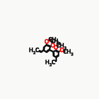 C=Cc1cc(OC)c(OC)c(-c2cc(C=C)cc(OC)c2OC)c1